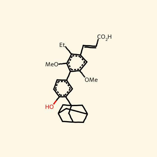 CCc1c(C=CC(=O)O)cc(OC)c(-c2ccc(O)c(C34CC5CC(CC(C5)C3)C4)c2)c1OC